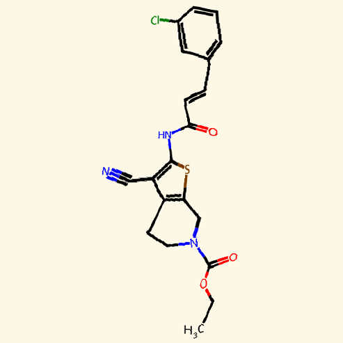 CCOC(=O)N1CCc2c(sc(NC(=O)/C=C/c3cccc(Cl)c3)c2C#N)C1